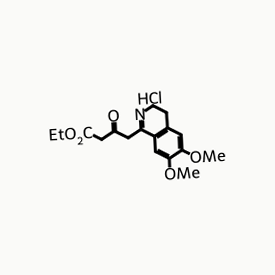 CCOC(=O)CC(=O)CC1=NCCc2cc(OC)c(OC)cc21.Cl